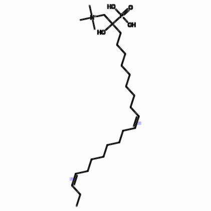 CC/C=C\CCCCCC/C=C\CCCCCCCCC(O)(C[N+](C)(C)C)P(=O)(O)O